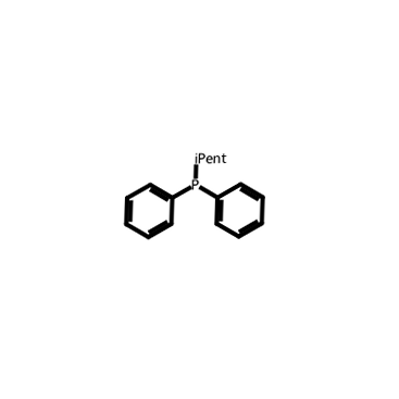 CCCC(C)P(c1ccccc1)c1ccccc1